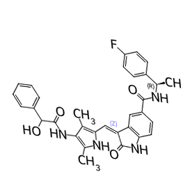 Cc1[nH]c(/C=C2\C(=O)Nc3ccc(C(=O)N[C@H](C)c4ccc(F)cc4)cc32)c(C)c1NC(=O)C(O)c1ccccc1